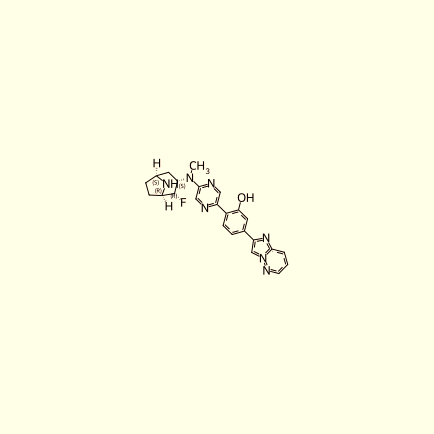 CN(c1cnc(-c2ccc(-c3cn4ncccc4n3)cc2O)cn1)[C@H]1C[C@@H]2CC[C@@H](N2)[C@H]1F